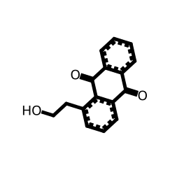 O=C1c2ccccc2C(=O)c2c(CCO)cccc21